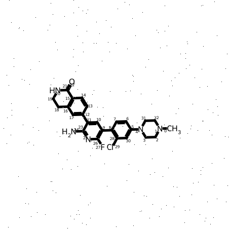 CN1CCN(c2ccc(-c3cc(-c4ccc5c(c4)CCNC5=O)c(N)nc3F)c(Cl)c2)CC1